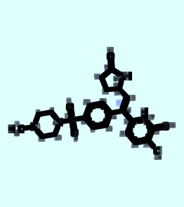 CN1CCN(S(=O)(=O)c2ccc(/C(=C\[C@H]3CCC(=O)N3)c3ccc(Cl)c(=O)[nH]3)cc2)CC1